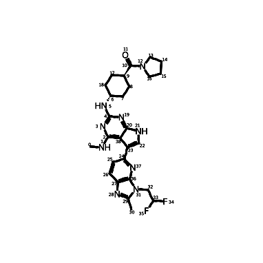 CNc1nc(N[C@H]2CC[C@H](C(=O)N3CCCC3)CC2)nc2[nH]cc(-c3ccc4nc(C)n(CC(F)F)c4n3)c12